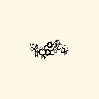 CC(C)(C)OC(=O)NC1CC(F)(F)c2cc(F)c(-c3nnc(N4CCC(F)(F)C4)o3)cc2N(Cc2ccc(-n3cnc(C(F)(F)F)n3)cc2)C1=O